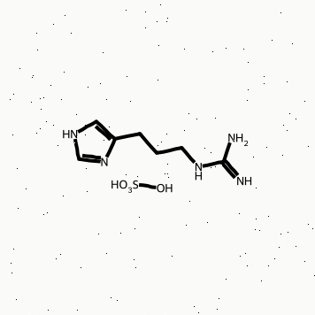 N=C(N)NCCCc1c[nH]cn1.O=S(=O)(O)O